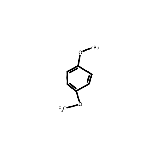 [CH2]CCCOc1ccc(OC(F)(F)F)cc1